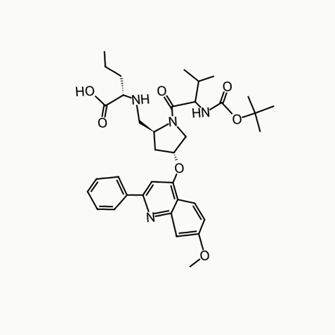 CCC[C@H](NC[C@@H]1C[C@@H](Oc2cc(-c3ccccc3)nc3cc(OC)ccc23)CN1C(=O)C(NC(=O)OC(C)(C)C)C(C)C)C(=O)O